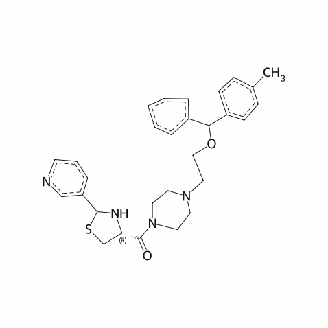 Cc1ccc(C(OCCN2CCN(C(=O)[C@@H]3CSC(c4cccnc4)N3)CC2)c2ccccc2)cc1